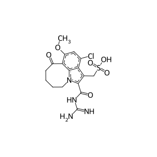 COc1cc(Cl)c2c(CS(=O)(=O)O)c(C(=O)NC(=N)N)n3c2c1C(=O)CCCC3